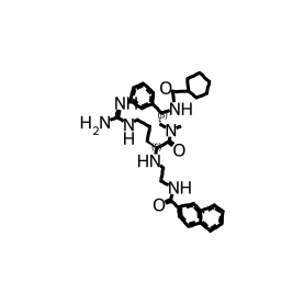 CN(C[C@@H](NC(=O)C1CCCCC1)c1ccccc1)C(=O)[C@H](CCCNC(=N)N)NCCNC(=O)c1ccc2ccccc2c1